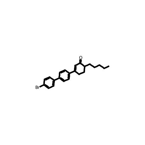 CCCCCC1CCC(c2ccc(-c3ccc(Br)cc3)cc2)=CC1=O